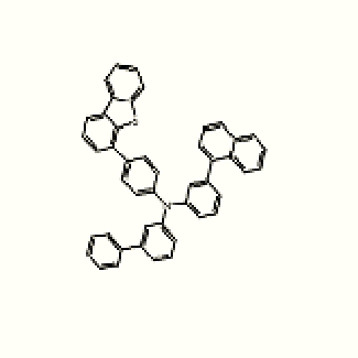 c1ccc(-c2cccc(N(c3ccc(-c4cccc5c4sc4ccccc45)cc3)c3cccc(-c4cccc5ccccc45)c3)c2)cc1